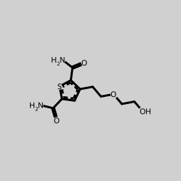 NC(=O)c1cc(CCOCCO)c(C(N)=O)s1